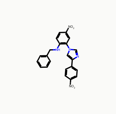 O=[N+]([O-])c1ccc(-c2cn(-c3cc([N+](=O)[O-])ccc3NCc3ccccc3)cn2)cc1